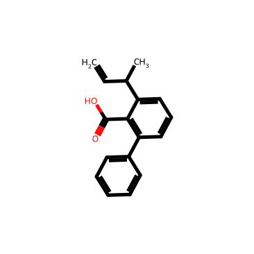 C=CC(C)c1cccc(-c2ccccc2)c1C(=O)O